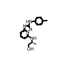 Cc1ccc(Nc2nc3cccc(N[C@@H](C)CO)n3n2)cc1